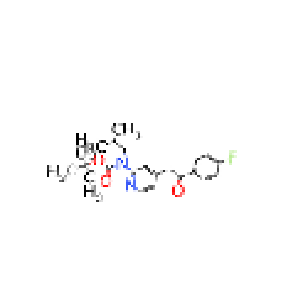 CC(C)CN(C(=O)OC(C)(C)C)c1cc(CC(=O)c2ccc(F)cc2)ccn1